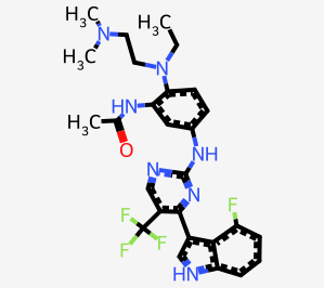 CCN(CCN(C)C)c1ccc(Nc2ncc(C(F)(F)F)c(-c3c[nH]c4cccc(F)c34)n2)cc1NC(C)=O